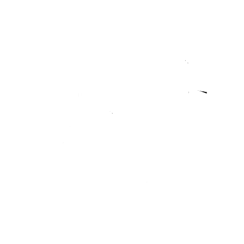 Cc1c(C(=O)c2ccc(Cl)cc2)c2ccc(OC(F)(F)F)cc2n1Cc1cccc(C[C@@](C)(OC=O)C(N)=O)c1